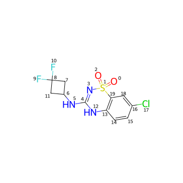 O=S1(=O)N=C(NC2CC(F)(F)C2)Nc2ccc(Cl)cc21